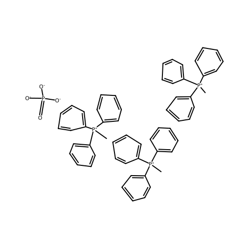 C[P+](c1ccccc1)(c1ccccc1)c1ccccc1.C[P+](c1ccccc1)(c1ccccc1)c1ccccc1.C[P+](c1ccccc1)(c1ccccc1)c1ccccc1.O=P([O-])([O-])[O-]